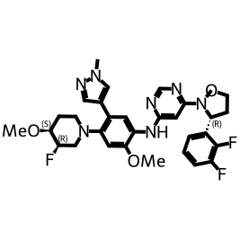 COc1cc(N2CC[C@H](OC)[C@H](F)C2)c(-c2cnn(C)c2)cc1Nc1cc(N2OCC[C@@H]2c2cccc(F)c2F)ncn1